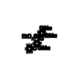 CCOC(=O)c1c(-c2ccc(Oc3ccccc3)c(OC)c2)oc2c(OC)cc(OC)cc12